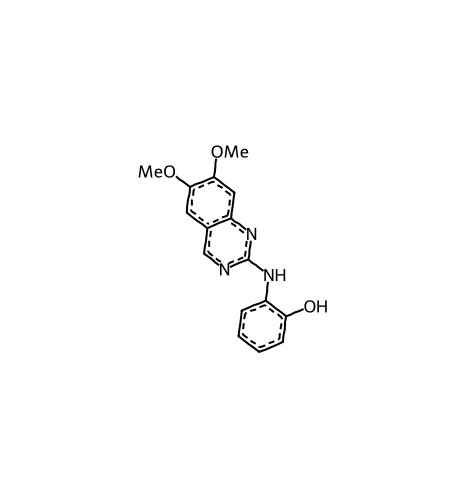 COc1cc2cnc(Nc3ccccc3O)nc2cc1OC